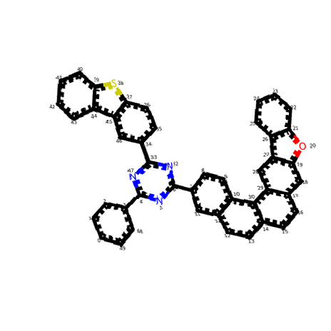 c1ccc(-c2nc(-c3ccc4c(ccc5ccc6cc7oc8ccccc8c7cc6c54)c3)nc(-c3ccc4sc5ccccc5c4c3)n2)cc1